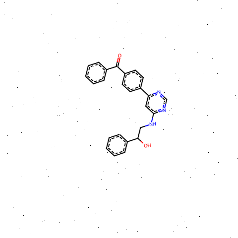 O=C(c1ccccc1)c1ccc(-c2cc(NCC(O)c3ccccc3)ncn2)cc1